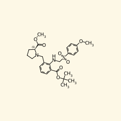 COC(=O)[C@@H]1CCCN1Cc1cccc(C(=O)OC(C)(C)C)c1NCS(=O)(=O)c1ccc(OC)cc1